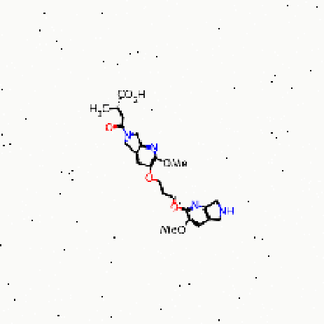 COc1cc2c(nc1OCCCOc1cc3c(nc1OC)CN(C(=O)C[C@H](C)C(=O)O)C3)CNC2